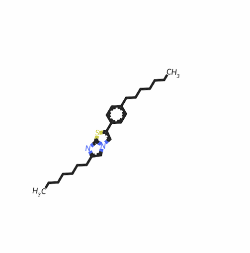 CCCCCCCc1ccc(-c2cn3cc(CCCCCCC)nc3s2)cc1